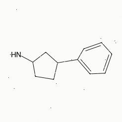 [NH]C1CCC(c2ccccc2)C1